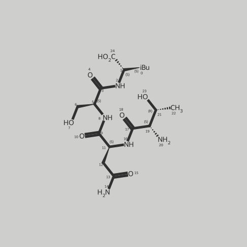 CC[C@H](C)[C@H](NC(=O)[C@H](CO)NC(=O)[C@H](CC(N)=O)NC(=O)[C@@H](N)[C@@H](C)O)C(=O)O